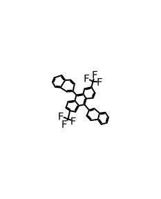 FC(F)(F)c1ccc2c(-c3ccc4ccccc4c3)c3cc(C(F)(F)F)ccc3c(-c3ccc4ccccc4c3)c2c1